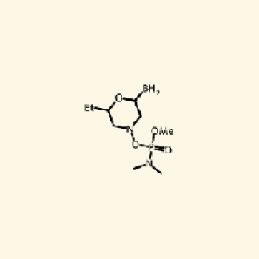 BC1CN(OP(=O)(OC)N(C)C)CC(CC)O1